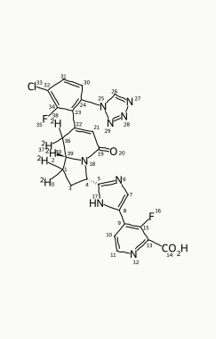 [2H]C1([2H])C[C@@H](c2ncc(-c3ccnc(C(=O)O)c3F)[nH]2)N2C(=O)C=C(c3c(-n4cnnn4)ccc(Cl)c3F)C([2H])([2H])[C@]21[2H]